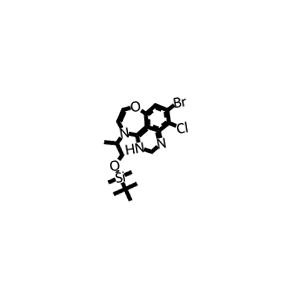 CC(CO[Si](C)(C)C(C)(C)C)N1C=COc2cc(Br)c(Cl)c3c2=C1NCN=3